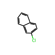 Clc1ccc2[c]cccc2c1